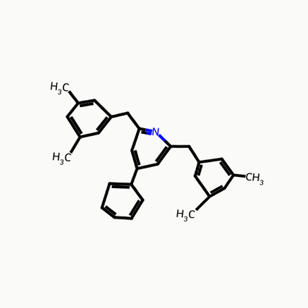 Cc1cc(C)cc(Cc2cc(-c3ccccc3)cc(Cc3cc(C)cc(C)c3)n2)c1